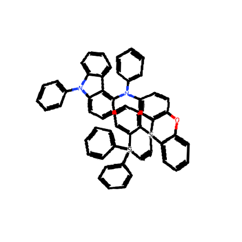 c1ccc(N(c2ccc3c(c2)[Si]2(c4ccccc4O3)c3ccccc3[Si](c3ccccc3)(c3ccccc3)c3ccccc32)c2cccc3c2c2ccccc2n3-c2ccccc2)cc1